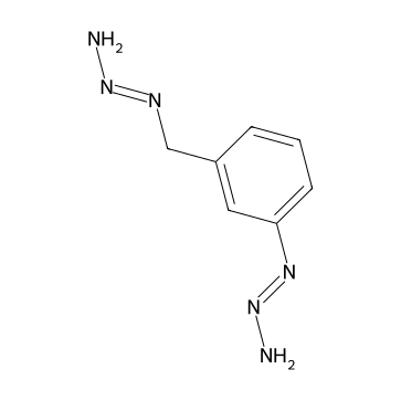 NN=NCc1cccc(N=NN)c1